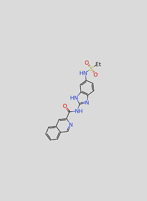 CCS(=O)(=O)Nc1ccc2nc(NC(=O)c3cc4ccccc4cn3)[nH]c2c1